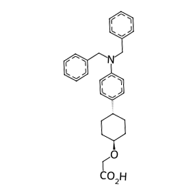 O=C(O)CO[C@H]1CC[C@H](c2ccc(N(Cc3ccccc3)Cc3ccccc3)cc2)CC1